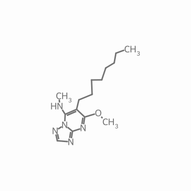 CCCCCCCCc1c(OC)nc2ncnn2c1NC